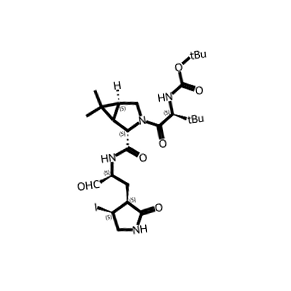 CC(C)(C)OC(=O)N[C@H](C(=O)N1C[C@H]2C([C@H]1C(=O)N[C@H](C=O)C[C@H]1C(=O)NC[C@H]1I)C2(C)C)C(C)(C)C